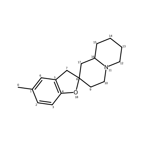 Cc1ccc2c(c1)CC1(CCN3CCCCC3C1)O2